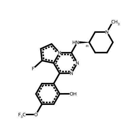 CN1CCC[C@@H](Nc2nnc(-c3ccc(OC(F)(F)F)cc3O)c3c(F)ccn23)C1